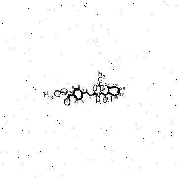 COC(=O)c1ccc(CCC(NCC(O)c2ccccc2F)OC(C)=O)cc1